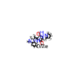 COc1ccc2c(c1)c([C@@H](C)[C@H]1NC(=O)[C@@H](Cc3ccccn3)NC1=O)cn2C